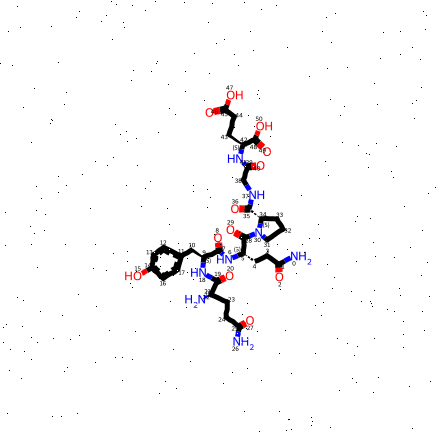 NC(=O)CC[C@H](NC(=O)[C@H](Cc1ccc(O)cc1)NC(=O)[C@@H](N)CCC(N)=O)C(=O)N1CCC[C@H]1C(=O)NCC(=O)N[C@@H](CCC(=O)O)C(=O)O